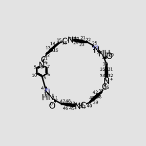 O=C1N/N=C/c2cc[n+](cc2)Cc2ccc(cc2)C[n+]2ccc(cc2)/C=N/NC(=O)c2cc[n+](cc2)Cc2ccc(cc2)C[n+]2ccc1cc2